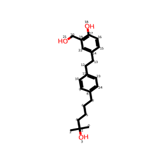 CC(C)(O)CCCCc1ccc(CCc2ccc(O)c(CO)c2)cc1